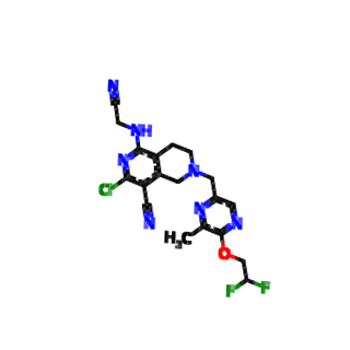 Cc1nc(CN2CCc3c(NCC#N)nc(Cl)c(C#N)c3C2)cnc1OCC(F)F